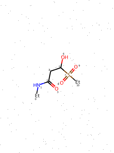 [CH2]CNC(=O)CC(O)S(=O)(=O)CC